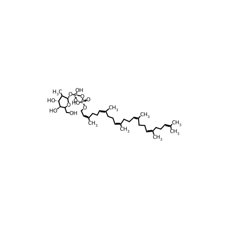 CC(C)=CCC/C(C)=C\CC/C(C)=C\CC/C(C)=C\CC/C(C)=C\CC/C(C)=C\COP(=O)(O)OP(=O)(O)O[C@H]1OC(CO)[C@@H](O)[C@H](O)C1C